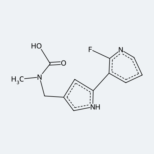 CN(Cc1c[nH]c(-c2cccnc2F)c1)C(=O)O